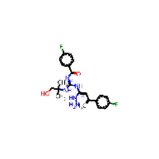 C=C(/C=C(\NN)N/C(=N\C(=O)c1ccc(F)cc1)NC(C)(C)CO)c1ccc(F)cc1